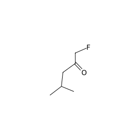 CC(C)CC(=O)CF